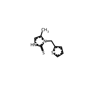 Cc1c[nH]c(=S)n1Cc1cccs1